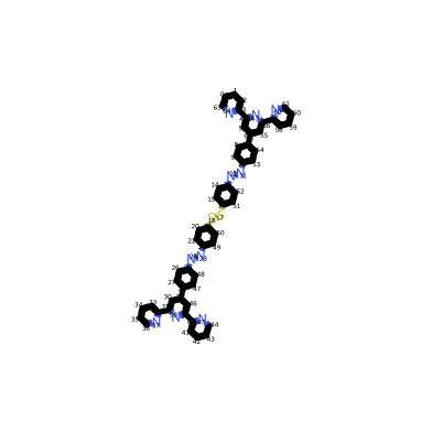 c1ccc(-c2cc(-c3ccc(/N=N/c4ccc(SSc5ccc(/N=N/c6ccc(-c7cc(-c8ccccn8)nc(-c8ccccn8)c7)cc6)cc5)cc4)cc3)cc(-c3ccccn3)n2)nc1